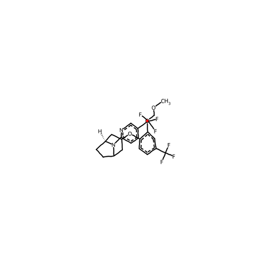 COCOc1cc(C(F)(F)F)ccc1OC1CC2CC[C@@H](C1)N2c1ccc(C(F)(F)F)cn1